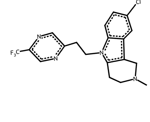 CN1CCc2c(c3cc(Cl)ccc3n2CCc2cnc(C(F)(F)F)cn2)C1